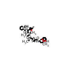 CCO[C@H](C[C@H](C(C)C)N(C)C(=O)C(NC(=O)[C@H]1CCCCN1C)C12CC(F)(C1)C2)c1nc(C(=O)N[C@@H](Cc2ccccc2)C[C@H](C)C(=O)O)cs1